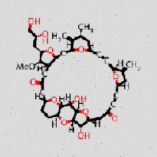 C=C1C[C@@H]2CCC(=O)C[C@H]3O[C@H]4[C@@H](O)[C@H]5O[C@H](CC[C@@H]5O[C@H]4[C@H]3O)CC(=O)C[C@H]3C(C[C@H]4O[C@@H](CC[C@@H]1O2)C[C@@H](C)C4=C)O[C@H](C[C@H](O)CO)[C@@H]3OC